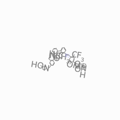 COc1cc(/C=C/c2cccc(-c3cccc(-n4ccc5cc(CN6CCC(O)C6)ccc5c4=O)c3C)c2C)c(C(F)(F)F)cc1COC(=O)[C@@H]1CCCN1